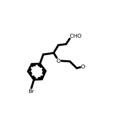 [O]CCOC(CCC=O)Cc1ccc(Br)cc1